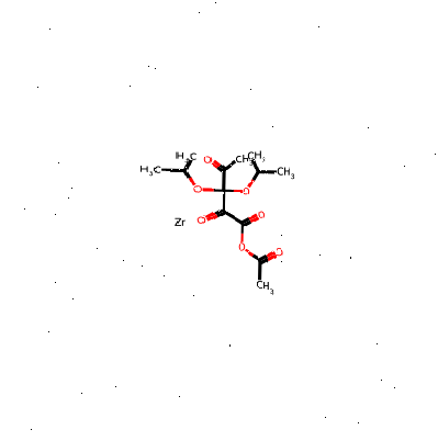 CC(=O)OC(=O)C(=O)C(OC(C)C)(OC(C)C)C(C)=O.[Zr]